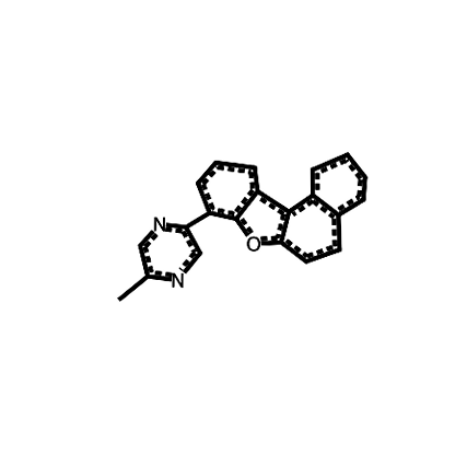 Cc1cnc(-c2cccc3c2oc2ccc4ccccc4c23)cn1